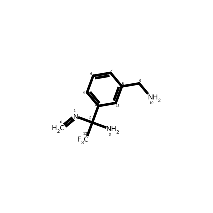 C=NC(N)(c1cccc(CN)c1)C(F)(F)F